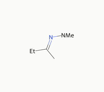 CCC(C)=NNC